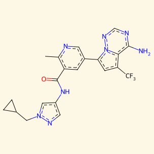 Cc1ncc(-c2cc(C(F)(F)F)c3c(N)ncnn23)cc1C(=O)Nc1cnn(CC2CC2)c1